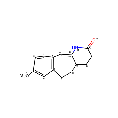 COc1ccc2c(c1)CCC1CCC(=O)NC1=C2